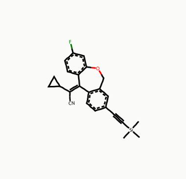 C[Si](C)(C)C#Cc1ccc2c(c1)COc1cc(F)ccc1/C2=C(/C#N)C1CC1